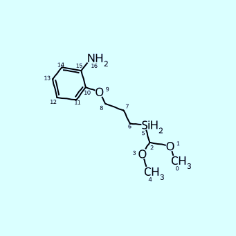 COC(OC)[SiH2]CCCOc1ccccc1N